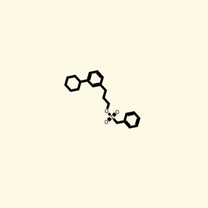 O=S(=O)(Cc1ccccc1)OCCCc1cccc(C2CCCCC2)c1